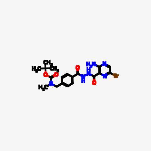 CN(Cc1ccc(C(=O)NNC(=O)c2nc(Br)cnc2N)cc1)C(=O)OC(C)(C)C